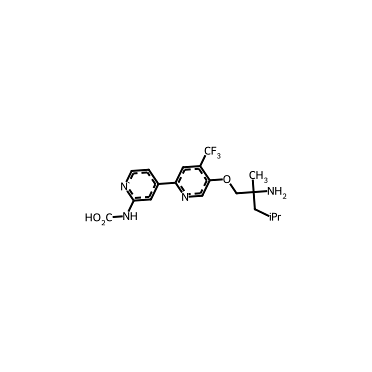 CC(C)CC(C)(N)COc1cnc(-c2ccnc(NC(=O)O)c2)cc1C(F)(F)F